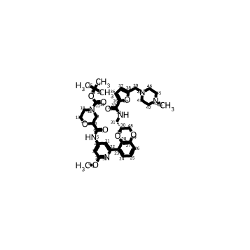 COc1cc(NC(=O)C2CN(C(=O)OC(C)(C)C)CCO2)cc(-c2cccc3c2O[C@H](CNC(=O)c2ccc(CN4CCN(C)CC4)o2)CO3)n1